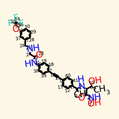 C=C(N[C@H](C(=O)NO)[C@@H](C)O)c1ccc(C#Cc2ccc(NC(=O)CNCc3cccc(OC(F)(F)F)c3)cc2)cc1